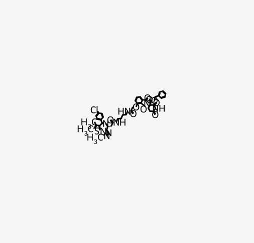 Cc1sc2c(c1C)C(c1ccc(Cl)cc1)=N[C@@H](CC(=O)NCCCCNC(=O)COc1cccc3c1C(=O)N(C1(C(=O)OCc4ccccc4)CCC(=O)NC1=O)C3=O)c1nnc(C)n1-2